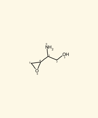 NC(CO)C1CO1